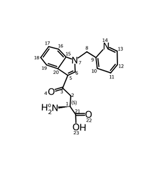 N[C@@H](CC(=O)c1cn(Cc2ccccn2)c2ccccc12)C(=O)O